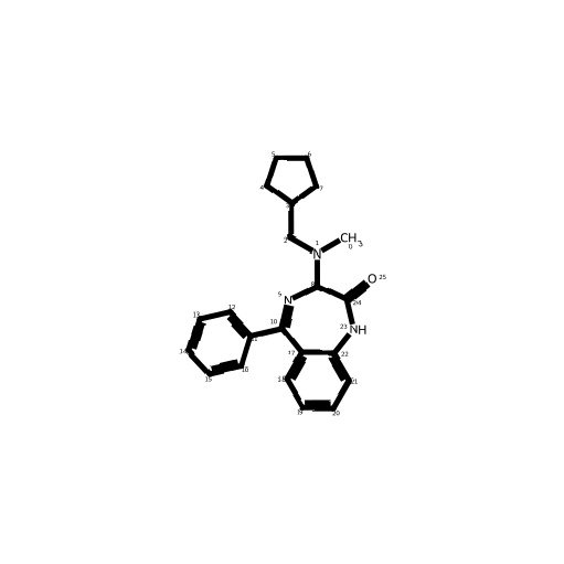 CN(CC1CCCC1)C1N=C(c2ccccc2)c2ccccc2NC1=O